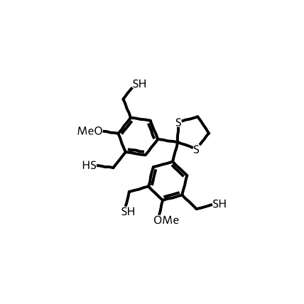 COc1c(CS)cc(C2(c3cc(CS)c(OC)c(CS)c3)SCCS2)cc1CS